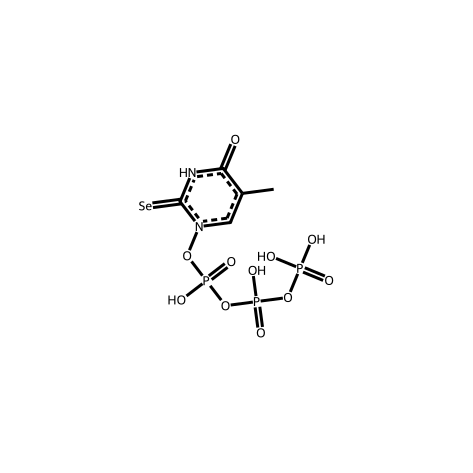 Cc1cn(OP(=O)(O)OP(=O)(O)OP(=O)(O)O)c(=[Se])[nH]c1=O